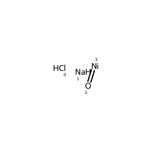 Cl.[NaH].[O]=[Ni]